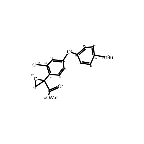 COC(=O)C1(c2ccc(Oc3ccc(C(C)(C)C)cc3)cc2Cl)CO1